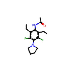 CCc1c(F)c(N2CCCC2)c(F)c(CC)c1NC(C)=O